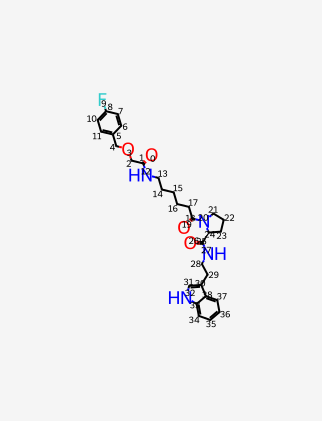 O=C(COCc1ccc(F)cc1)NCCCCCC(=O)N1CCC[C@H]1C(=O)NCCc1c[nH]c2ccccc12